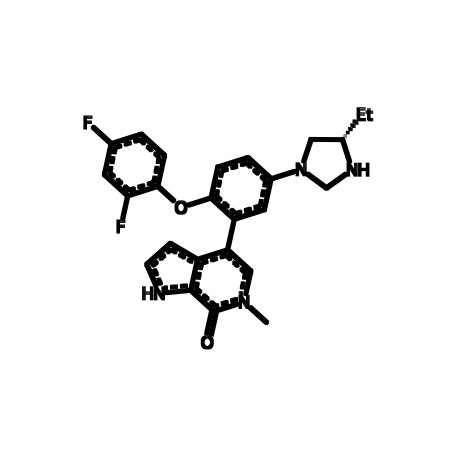 CC[C@H]1CN(c2ccc(Oc3ccc(F)cc3F)c(-c3cn(C)c(=O)c4[nH]ccc34)c2)CN1